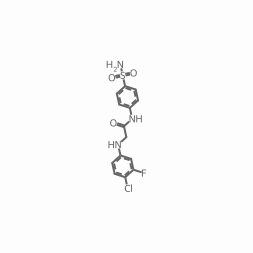 NS(=O)(=O)c1ccc(NC(=O)CNc2ccc(Cl)c(F)c2)cc1